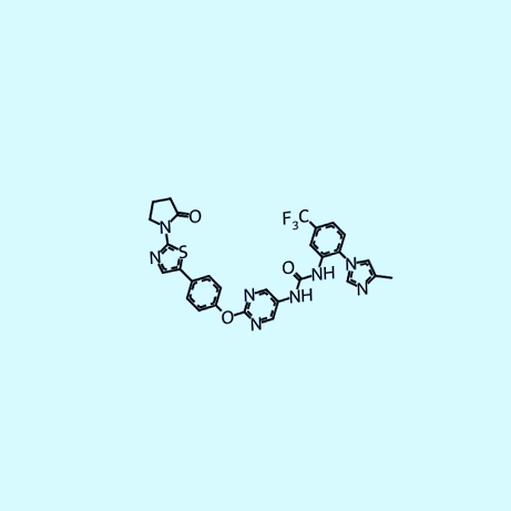 Cc1cn(-c2ccc(C(F)(F)F)cc2NC(=O)Nc2cnc(Oc3ccc(-c4cnc(N5CCCC5=O)s4)cc3)nc2)cn1